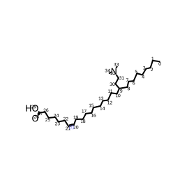 CCCCCCCCCC(CCCCCCCCCC/C=C\CCCCCC(=O)O)CCN(C)C